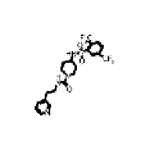 O=C(NCCc1cccnc1)N1CCC(NS(=O)(=O)c2cc(C(F)(F)F)ccc2C(F)(F)F)CC1